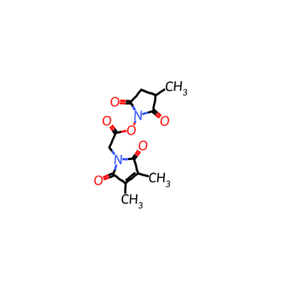 CC1=C(C)C(=O)N(CC(=O)ON2C(=O)CC(C)C2=O)C1=O